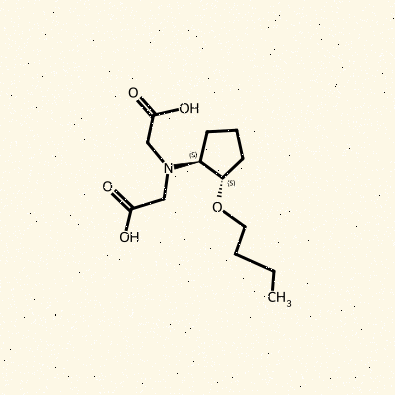 CCCCO[C@H]1CCC[C@@H]1N(CC(=O)O)CC(=O)O